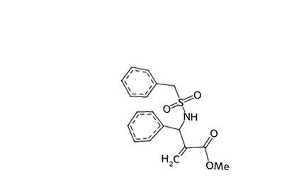 C=C(C(=O)OC)C(NS(=O)(=O)Cc1ccccc1)c1ccccc1